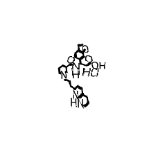 Cl.O=C(O)CC(NC(=O)C1CCCN(CCCc2ccc3c(n2)NCCC3)C1)c1ccc2c(c1)OCC2